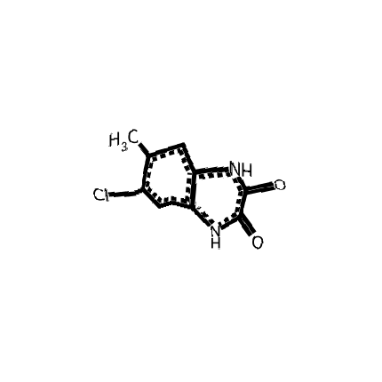 Cc1cc2[nH]c(=O)c(=O)[nH]c2cc1Cl